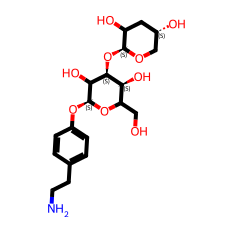 NCCc1ccc(O[C@@H]2OC(CO)[C@H](O)[C@H](O[C@@H]3OC[C@@H](O)CC3O)C2O)cc1